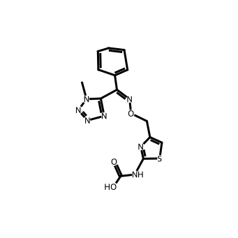 Cn1nnnc1C(=NOCc1csc(NC(=O)O)n1)c1ccccc1